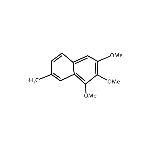 [CH2]c1ccc2cc(OC)c(OC)c(OC)c2c1